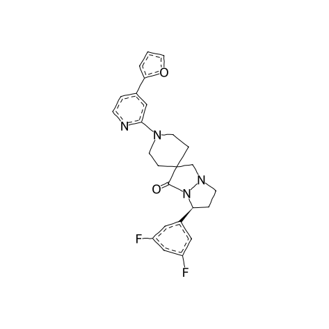 O=C1N2[C@H](c3cc(F)cc(F)c3)CCN2CC12CCN(c1cc(-c3ccco3)ccn1)CC2